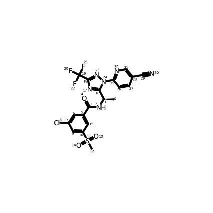 C[C@@H](NC(=O)c1cc(Cl)cc(S(C)(=O)=O)c1)c1nc(C(F)(F)F)nn1-c1ccc(C#N)cn1